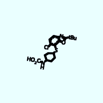 CC(C)(C)c1nc2ccc(Cl)c(SC3CCC(NC(=O)O)CC3)c2o1